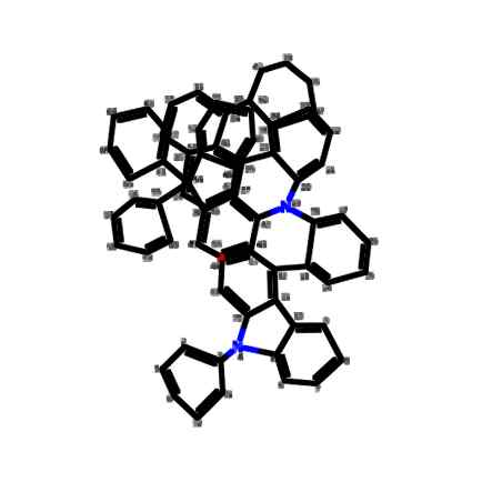 c1ccc(-n2c3ccccc3c3c(-c4ccccc4N(c4ccccc4-c4cccc5cccc(C6CCCCC6)c45)c4cccc5c4-c4ccccc4C5(c4ccccc4)c4ccccc4)cccc32)cc1